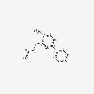 Nc1cnc(-c2ccccc2)nc1CCC=O